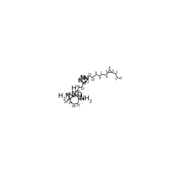 CCCC1CC1CCCCCCn1cc(CCC(=O)NC2(C)CC(N)CCCC2(C)N)nn1